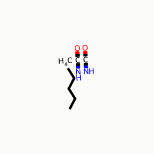 C.CCCCC.N=C=O.N=C=O